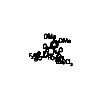 COc1cc2c(cc1OC)N(C(=O)OCC(Cl)(Cl)Cl)[C@@H](O[Si](C)(C)C(C)(C)C)[C@H]1CC(OS(=O)(=O)C(F)(F)F)=CN1C2=O